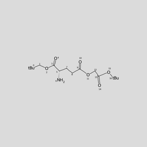 CC(C)(C)COC(=O)[C@@H](N)CCC(=O)OCC(=O)OC(C)(C)C